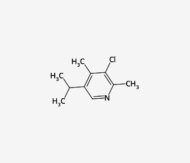 Cc1ncc(C(C)C)c(C)c1Cl